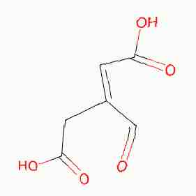 O=C/C(=C\C(=O)O)CC(=O)O